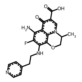 CC1COc2c(NCCc3ccncc3)c(F)c(N)c3c(=O)c(C(=O)O)cn1c23